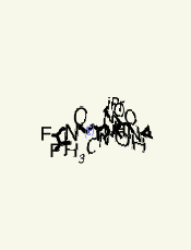 Cc1nn2c(O)c(C(=O)NC3CC3)c(=O)n(CC(C)C)c2c1/C=C/C(=O)N1CC(F)C(F)C1